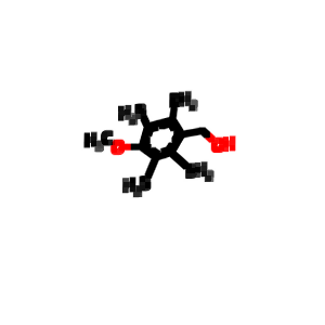 Bc1c(B)c(OC)c(B)c(B)c1CO